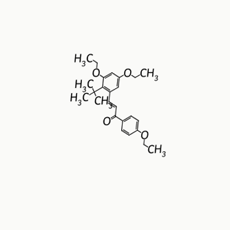 CCOc1ccc(C(=O)C=Cc2cc(OCC)cc(OCC)c2C(C)(C)C)cc1